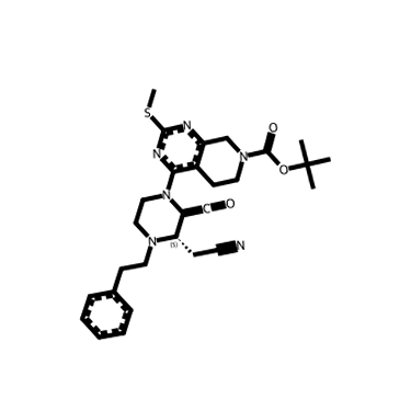 CSc1nc2c(c(N3CCN(CCc4ccccc4)[C@@H](CC#N)C3=C=O)n1)CCN(C(=O)OC(C)(C)C)C2